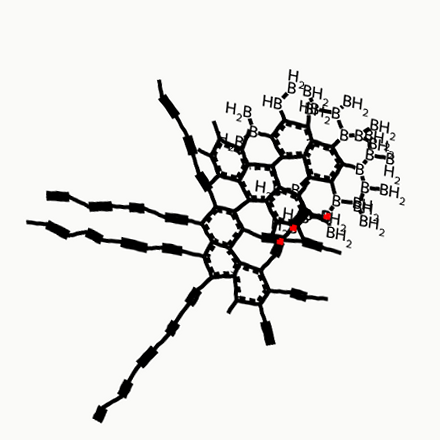 BBB(B)B(B(B)B)c1c(B(B(B)B)B(B)B)c(B(BB)B(B)B)c(B(B)B(B)B)c2c(-c3c4c(C)c(C)c(C)c(C)c4c(-c4c(C#CC#CC#CC)c(C#CC#CC#CC#C)c5c(C#CC#CC#CC#CC)c(C#CC#CC#CC#CC#C)c6c(C)c(C#C)c(C#CC)c(C#CC#C)c6c5c4C#CC#CC)c4c(C)c(C)c(C)c(C)c34)c(B(B)B)c(BB)c(B)c12